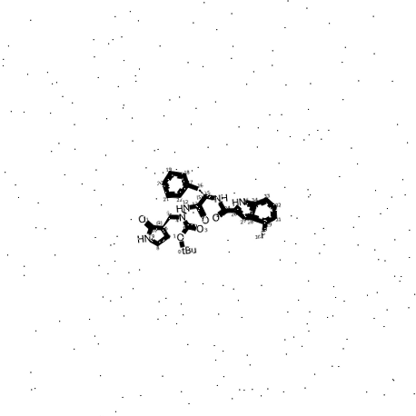 CC(C)(C)OC(=O)N(C[C@H]1CCNC1=O)NC(=O)[C@H](Cc1ccccc1)NC(=O)c1cc2c(F)cccc2[nH]1